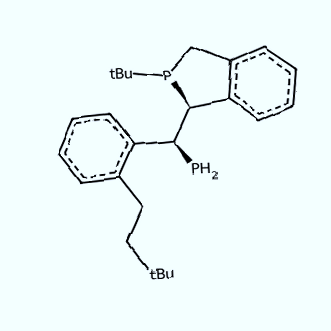 CC(C)(C)CCc1ccccc1[C@H](P)[C@@H]1c2ccccc2CP1C(C)(C)C